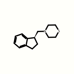 c1ccc2c(c1)CC[C@@H]2CN1CCSCC1